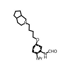 CCCc1ccc(OCCCCN2CCC3CCCC3C2)cc1NC=O